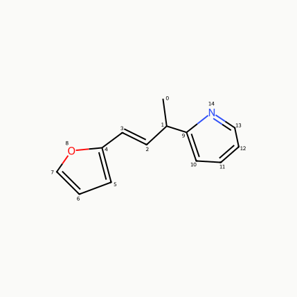 CC(C=Cc1ccco1)c1ccccn1